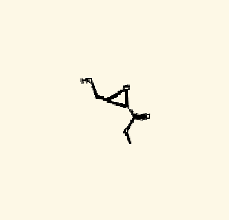 COC(=O)[C@H]1O[C@@H]1CO